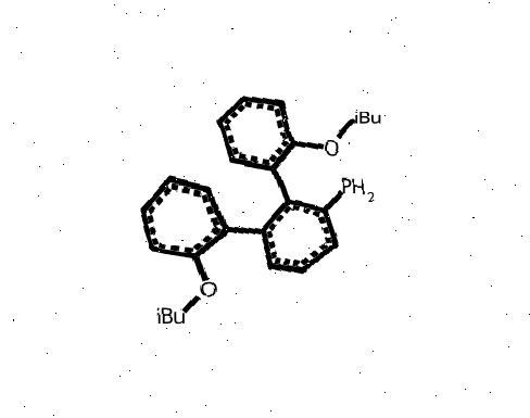 CCC(C)Oc1ccccc1-c1cccc(P)c1-c1ccccc1OC(C)CC